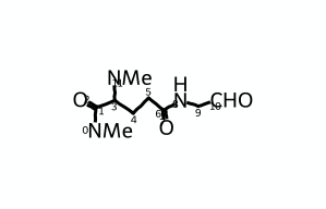 CNC(=O)C(CCC(=O)NCC=O)NC